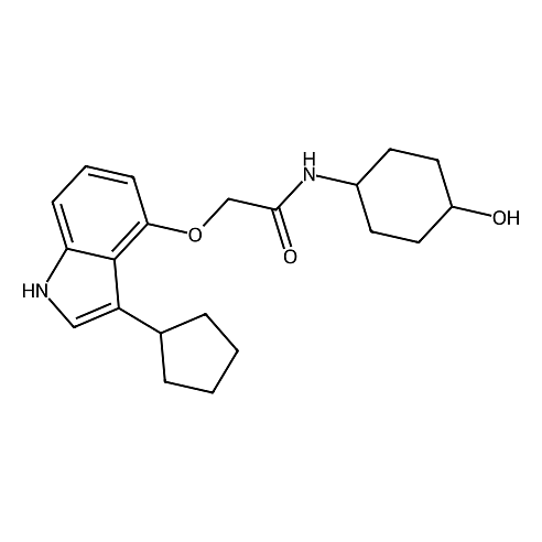 O=C(COc1cccc2[nH]cc(C3CCCC3)c12)NC1CCC(O)CC1